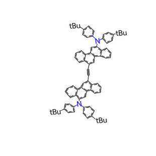 CC(C)(C)c1ccc(N(c2ccc(C(C)(C)C)cc2)c2cc3c4ccccc4c(C#Cc4cc5c6ccccc6c(N(c6ccc(C(C)(C)C)cc6)c6ccc(C(C)(C)C)cc6)cc5c5ccccc45)cc3c3ccccc23)cc1